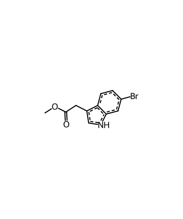 COC(=O)Cc1c[nH]c2cc(Br)ccc12